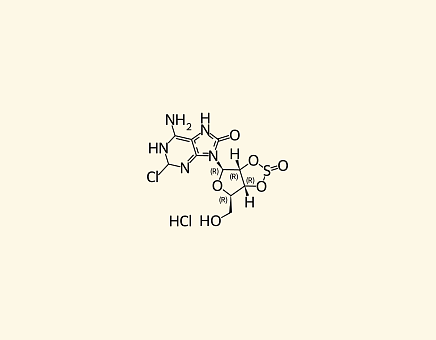 Cl.NC1=c2[nH]c(=O)n([C@@H]3O[C@H](CO)[C@H]4OS(=O)O[C@H]43)c2=NC(Cl)N1